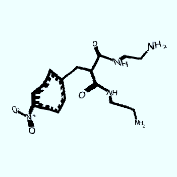 NCCNC(=O)C(Cc1ccc([N+](=O)[O-])cc1)C(=O)NCCN